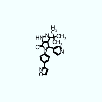 CC(C)(C)c1n[nH]c2c1C(c1ccncc1)N(c1ccc(-c3ccon3)cc1)C2=O